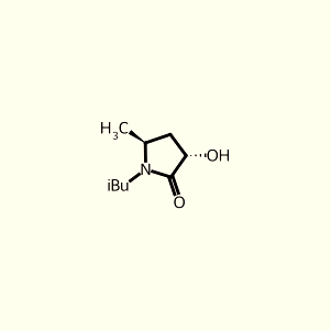 CCC(C)N1C(=O)[C@@H](O)C[C@@H]1C